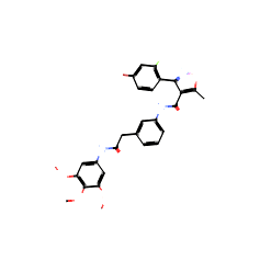 COc1cc(NC(=O)Cc2cccc(NC(=O)c3c(-c4ccc(Br)cc4F)noc3C)c2)cc(OC)c1OC